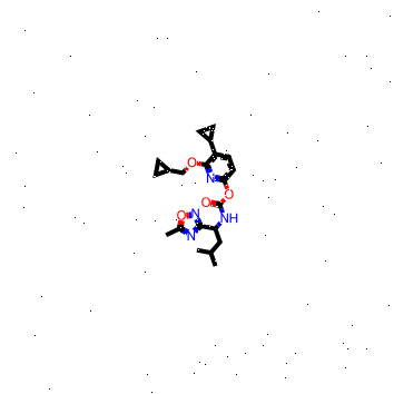 Cc1nc(C(CC(C)C)NC(=O)Oc2ccc(C3CC3)c(OCC3CC3)n2)no1